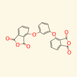 O=C1OC(=O)c2c(Oc3cccc(Oc4cccc5c4C(=O)OC5=O)c3)cccc21